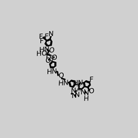 Cn1ncnc1[C@H]1c2n[nH]c(=O)c3cc(F)cc(c23)N[C@@H]1c1ccc(NCCOCCNc2ccc(S(=O)(=O)C[C@](C)(O)C(=O)Nc3ccc(C#N)c(C(F)(F)F)c3)cc2)cc1